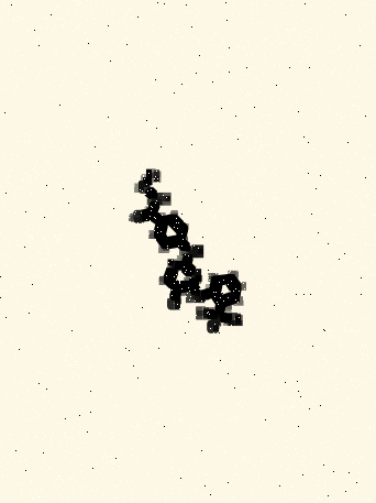 CCONC(=O)c1ccc(Nc2ncc(Cl)c(Nc3ccccc3P(=O)(CC)CC)n2)cc1